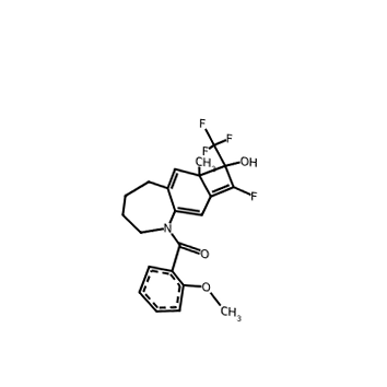 COc1ccccc1C(=O)N1CCCCC2=CC3(C)C(=C(F)C3(O)C(F)(F)F)C=C21